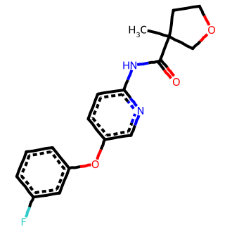 CC1(C(=O)Nc2ccc(Oc3cccc(F)c3)cn2)CCOC1